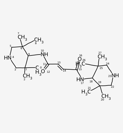 CC1(C)CNCC(C)(C)C1NC(=O)C=CC(=O)NC1C(C)(C)CNCC1(C)C